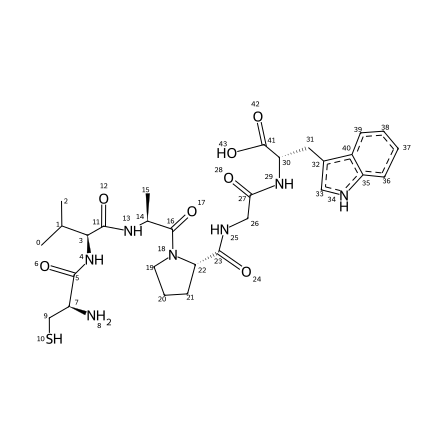 CC(C)[C@H](NC(=O)[C@@H](N)CS)C(=O)N[C@@H](C)C(=O)N1CCC[C@H]1C(=O)NCC(=O)N[C@@H](Cc1c[nH]c2ccccc12)C(=O)O